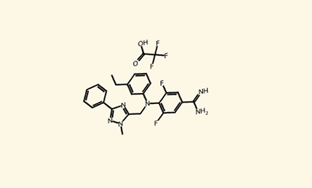 CCc1cccc(N(Cc2nc(-c3ccccc3)nn2C)c2c(F)cc(C(=N)N)cc2F)c1.O=C(O)C(F)(F)F